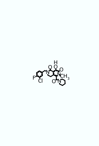 Cn1c(C(=O)N2CCCCC2)c2c(c(O)c1=O)C(=O)N(Cc1ccc(F)c(Cl)c1)CC2